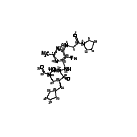 Cc1nc(NCC(=O)N2CCCC2)c(F)c(NNC(=O)[C@@H](CC2CCCC2)CN(O)C=O)n1